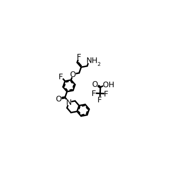 NCC(=CF)COc1ccc(C(=O)N2CCc3ccccc3C2)cc1F.O=C(O)C(F)(F)F